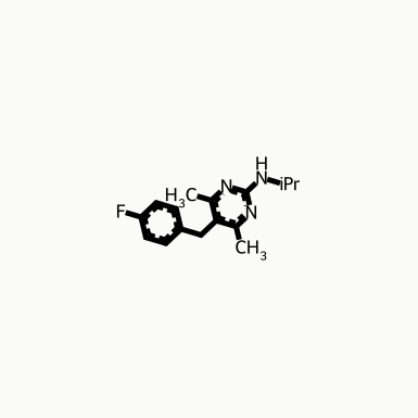 Cc1nc(NC(C)C)nc(C)c1Cc1ccc(F)cc1